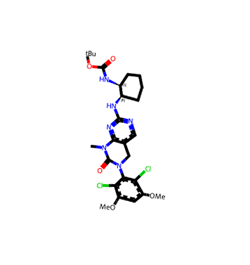 COc1cc(OC)c(Cl)c(N2Cc3cnc(N[C@@H]4CCCC[C@@H]4NC(=O)OC(C)(C)C)nc3N(C)C2=O)c1Cl